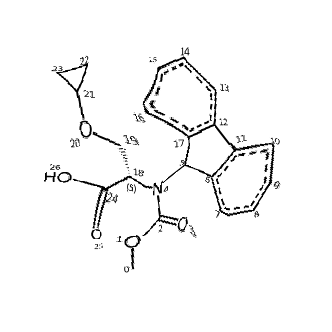 COC(=O)N(C1c2ccccc2-c2ccccc21)[C@@H](COC1CC1)C(=O)O